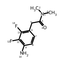 CN(C)C(=O)Cc1ccc(N)c(F)c1F